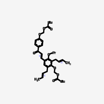 C/C=C/Cc1cc(/C=C/C(=O)c2ccc(OCOC(=O)C(C)(C)C)cc2)c(OC(C)C)c(C/C=C/C)c1OCOC(=O)C(C)(C)C